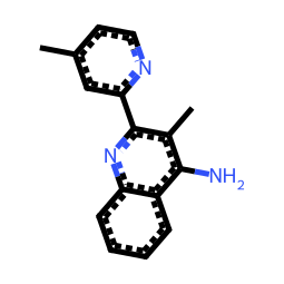 Cc1ccnc(-c2nc3ccccc3c(N)c2C)c1